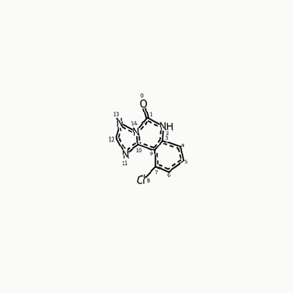 O=c1[nH]c2cccc(Cl)c2c2ncnn12